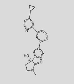 CN1CC[C@@](O)(c2cc(-c3cccc(-c4cc(C5CC5)ccn4)c3)no2)C1=O